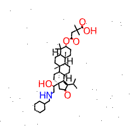 CC(C)C1=C2[C@H]3CC[C@@H]4[C@@]5(C)CC[C@H](OC(=O)CC(C)(C)C(=O)O)C(C)(C)[C@@H]5CC[C@@]4(C)[C@]3(C)CC[C@@]2([C@H](O)CNCC2CCCCC2)CC1=O